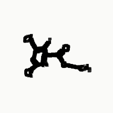 COC(=O)c1nc(Cl)cc(Cl)c1I